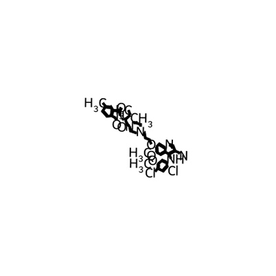 COc1cc(Nc2c(C#N)cnc3cc(OCCCN4CCN(C(=O)C(C(C)C)N5C(=O)c6ccc(C)cc6C5=O)CC4)c(OC)cc23)c(Cl)cc1Cl